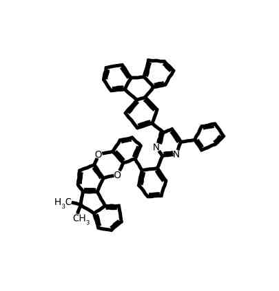 CC1(C)c2ccccc2-c2c1ccc1c2Oc2c(cccc2-c2ccccc2-c2nc(-c3ccccc3)cc(-c3ccc4c5ccccc5c5ccccc5c4c3)n2)O1